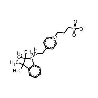 CC1(C)c2ccccc2N(NCc2cc[n+](CCCS(=O)(=O)[O-])cc2)C1(C)C